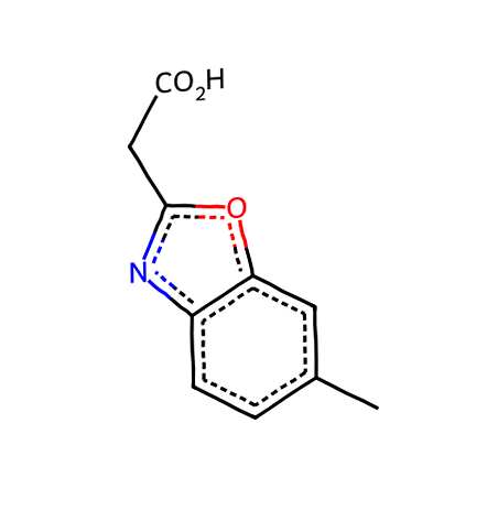 Cc1ccc2nc(CC(=O)O)oc2c1